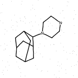 C1CN(C2C3CC4CC(C3)CC2C4)CC[N]1